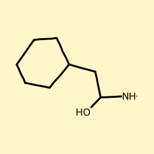 [NH]C(O)CC1CCCCC1